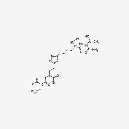 CCC(=O)[C@H](CCc1cn(CCCC[C@H](NC(C)C)C(=O)N[C@H](C(N)=O)[C@@H](C)O)nn1)CC(=O)[C@H](CC(=O)O)NC(C)C